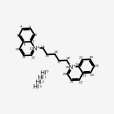 I.I.I.I.c1ccc2c(c1)ccc[n+]2CCCCC[n+]1cccc2ccccc21